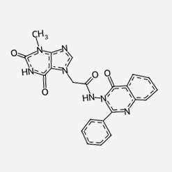 Cn1c(=O)[nH]c(=O)c2c1ncn2CC(=O)Nn1c(-c2ccccc2)nc2ccccc2c1=O